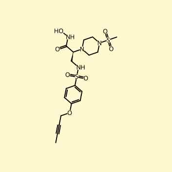 CC#CCOc1ccc(S(=O)(=O)NC[C@@H](C(=O)NO)N2CCN(S(C)(=O)=O)CC2)cc1